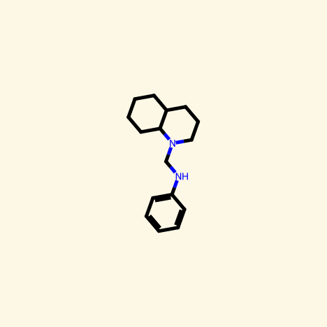 c1ccc(NCN2CCCC3CCCCC32)cc1